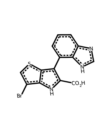 O=C(O)c1[nH]c2c(Br)csc2c1-c1cccc2nc[nH]c12